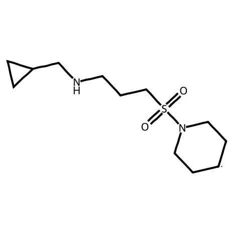 O=S(=O)(CCCNCC1CC1)N1CC[CH]CC1